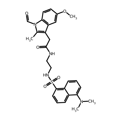 COc1ccc2c(c1)c(CC(=O)NCCNS(=O)(=O)c1cccc3c(N(C)C)cccc13)c(C)n2C=O